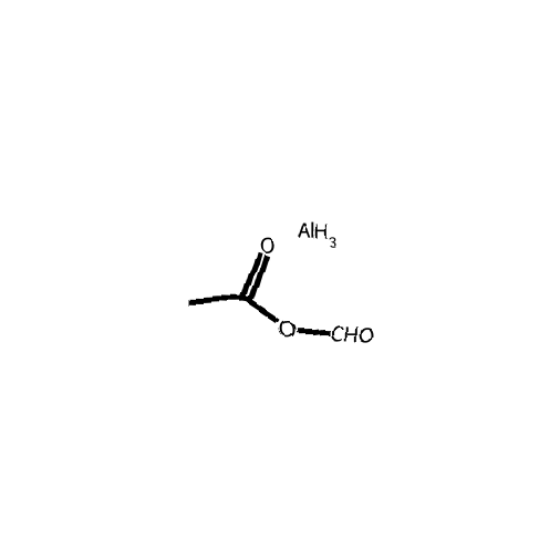 CC(=O)OC=O.[AlH3]